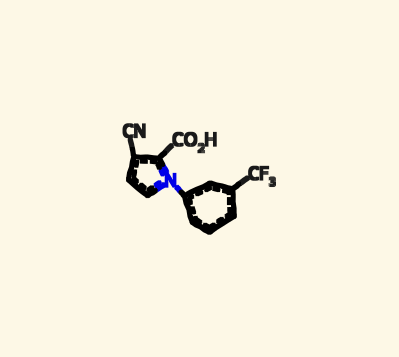 N#Cc1ccn(-c2cccc(C(F)(F)F)c2)c1C(=O)O